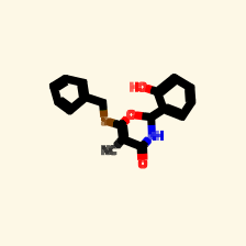 N#CC1=C(SCc2ccccc2)OC(c2ccccc2O)NC1=O